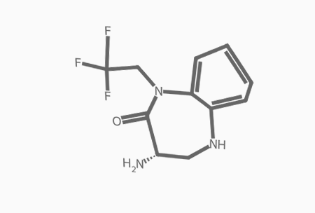 N[C@H]1CNc2ccccc2N(CC(F)(F)F)C1=O